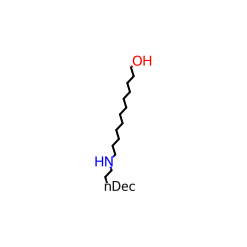 CCCCCCCCCCCCNCCCCCCCCCCCCO